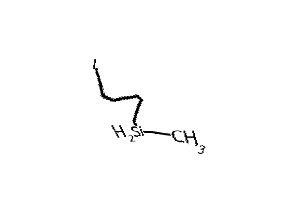 C[SiH2]CCI